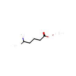 CCCCCCOC(=O)CCCC(N)C=O